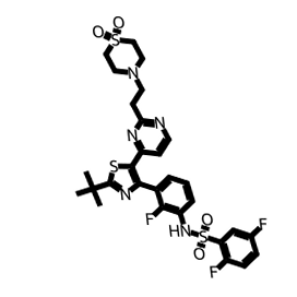 CC(C)(C)c1nc(-c2cccc(NS(=O)(=O)c3cc(F)ccc3F)c2F)c(-c2ccnc(CCN3CCS(=O)(=O)CC3)n2)s1